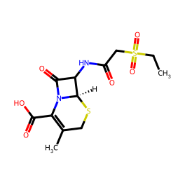 CCS(=O)(=O)CC(=O)NC1C(=O)N2C(C(=O)O)=C(C)CS[C@H]12